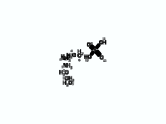 N.N.O.O.O.O.O.O.O=S(=O)(O)O